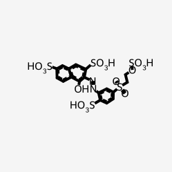 O=S(=O)(O)OCCS(=O)(=O)c1ccc(S(=O)(=O)O)c(N=Nc2c(S(=O)(=O)O)cc3cc(S(=O)(=O)O)ccc3c2O)c1